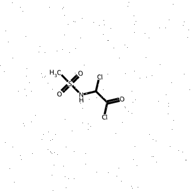 CS(=O)(=O)NC(Cl)C(=O)Cl